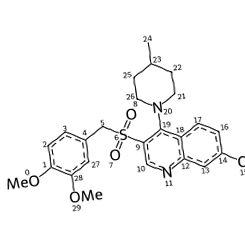 COc1ccc(CS(=O)(=O)c2cnc3cc(Cl)ccc3c2N2CCC(C)CC2)cc1OC